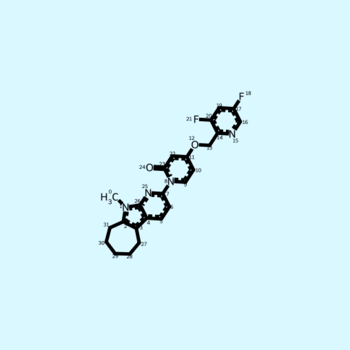 Cn1c2c(c3ccc(-n4ccc(OCc5ncc(F)cc5F)cc4=O)nc31)CCCCC2